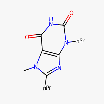 CCCc1nc2c(c(=O)[nH]c(=O)n2CCC)n1C